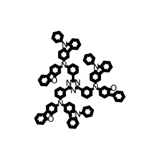 c1ccc(-n2c3ccccc3c3cc(N(c4cccc(-c5nc(-c6cccc(N(c7ccc8c(c7)oc7ccccc78)c7ccc8c(c7)c7ccccc7n8-c7ccccc7)c6)nc(-c6cccc(N(c7ccc8c(c7)oc7ccccc78)c7ccc8c(c7)c7ccccc7n8-c7ccccc7)c6)n5)c4)c4ccc5c(c4)oc4ccccc45)ccc32)cc1